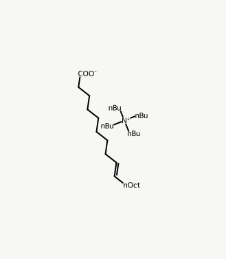 CCCCCCCCC=CCCCCCCCC(=O)[O-].CCCC[N+](CCCC)(CCCC)CCCC